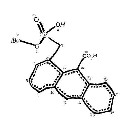 CCC(C)OP(=O)(O)Cc1cccc2cc3ccccc3c(C(=O)O)c12